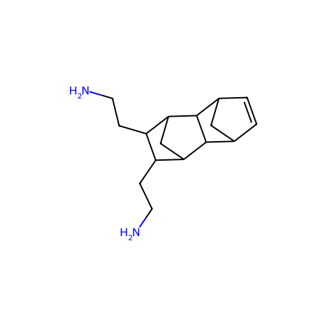 NCCC1C(CCN)C2CC1C1C3C=CC(C3)C21